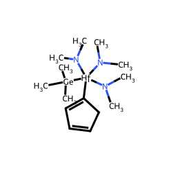 C[N](C)[Hf]([C]1=CC=CC1)([N](C)C)([N](C)C)[Ge]([CH3])([CH3])[CH3]